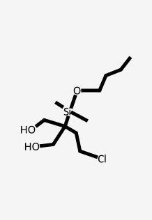 CCCCO[Si](C)(C)C(CO)(CO)CCCl